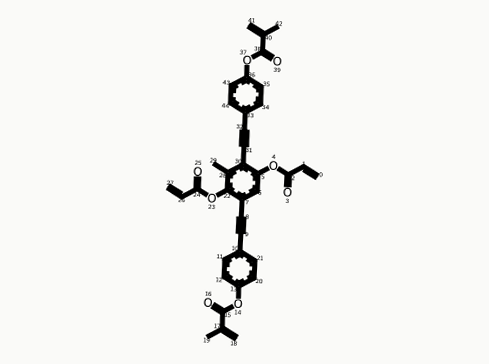 C=CC(=O)Oc1cc(C#Cc2ccc(OC(=O)C(=C)C)cc2)c(OC(=O)C=C)c(C)c1C#Cc1ccc(OC(=O)C(=C)C)cc1